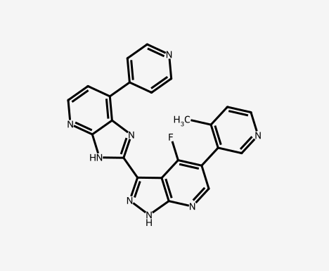 Cc1ccncc1-c1cnc2[nH]nc(-c3nc4c(-c5ccncc5)ccnc4[nH]3)c2c1F